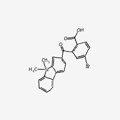 C[Si]1(C)c2ccccc2-c2ccc(C(=O)c3cc(Br)ccc3C(=O)O)cc21